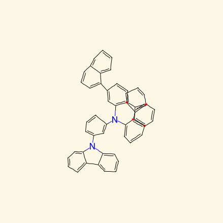 c1ccc(-c2ccccc2N(c2cccc(-n3c4ccccc4c4ccccc43)c2)c2cc(-c3cccc4ccccc34)ccc2-c2ccccc2)cc1